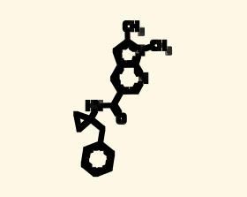 Cc1cc2cc(C(=O)NC3(Cc4ccccc4)CC3)cnc2n1C